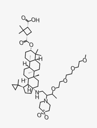 COCCOCCOCCOC(C)C(CN[C@]12CC[C@@H](C3(C)CC3)[C@@H]1[C@H]1CC[C@@H]3[C@@]4(C)CC[C@H](OC(=O)[C@H]5C[C@@H](C(=O)O)C5(C)C)C(C)(C)[C@@H]4CC[C@@]3(C)[C@]1(C)CC2)N1CCS(=O)(=O)CC1